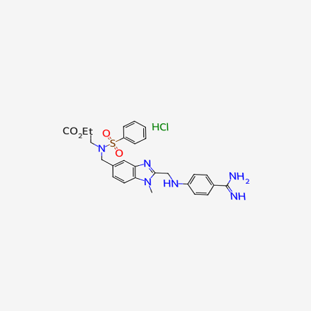 CCOC(=O)CN(Cc1ccc2c(c1)nc(CNc1ccc(C(=N)N)cc1)n2C)S(=O)(=O)c1ccccc1.Cl